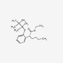 CCCCC(C(=O)OCC)c1ccccc1O[Si](C)(C)C(C)(C)C